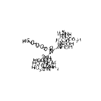 C#CCOCCOCCOCCOCCC(=O)N(CCCCNC(=O)CO[C@@H]([C@@H]1OC(C(=O)O)=C[C@H](NC(=N)N)[C@H]1C)[C@H](O)CO)CCCCNC(=O)CO[C@@H]([C@@H]1OC(C(=O)O)=C[C@H](NC(=N)N)[C@H]1NC(C)=O)[C@H](O)CO